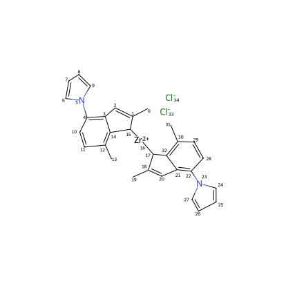 CC1=Cc2c(-n3cccc3)ccc(C)c2[CH]1[Zr+2][CH]1C(C)=Cc2c(-n3cccc3)ccc(C)c21.[Cl-].[Cl-]